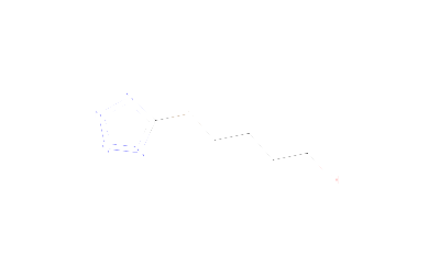 OCC[CH]CSc1nnn[nH]1